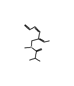 C=C/C=C\C(=C/C)CN(C)C(=C)C(C)C